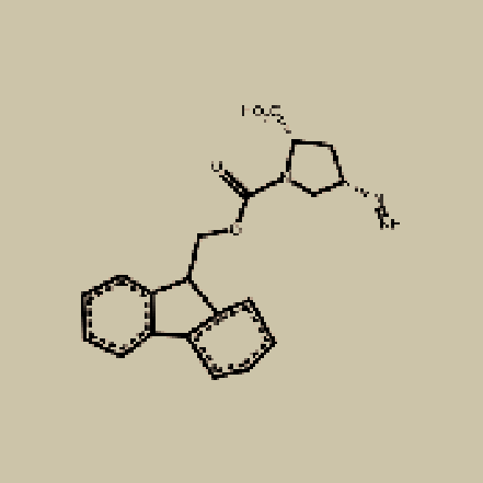 N=N[C@H]1C[C@@H](C(=O)O)N(C(=O)OCC2c3ccccc3-c3ccccc32)C1